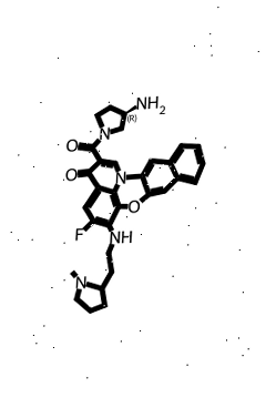 CN1CCCC1CCNc1c(F)cc2c(=O)c(C(=O)N3CC[C@@H](N)C3)cn3c2c1Oc1cc2ccccc2cc1-3